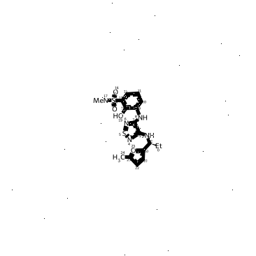 CC[C@@H](Nc1nsnc1Nc1cccc(S(=O)(=O)NC)c1O)c1ccc(C)o1